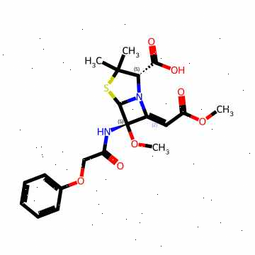 COC(=O)/C=C1\N2C(SC(C)(C)[C@@H]2C(=O)O)[C@@]1(NC(=O)COc1ccccc1)OC